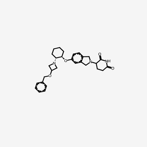 O=C1CCC(N2Cc3ccc(O[C@@H]4CCCC[C@H]4N4CC(OCc5ccccc5)C4)cc3C2)C(=O)N1